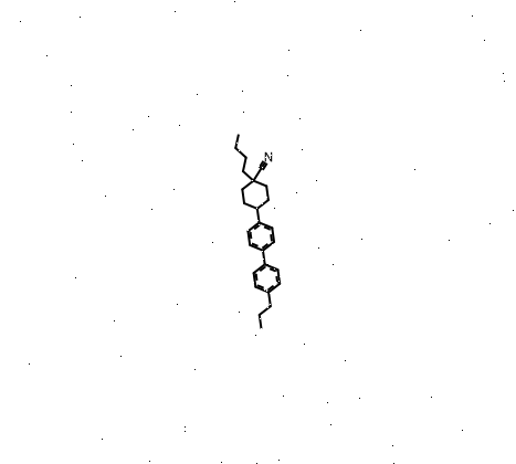 CCCCC1(C#N)CCC(c2ccc(-c3ccc(CCC)cc3)cc2)CC1